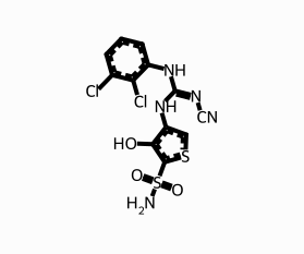 N#CN=C(Nc1csc(S(N)(=O)=O)c1O)Nc1cccc(Cl)c1Cl